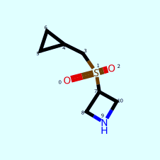 O=S(=O)(CC1CC1)C1CNC1